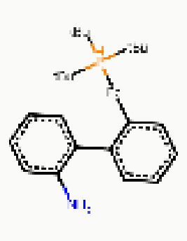 CC(C)(C)[PH]([Pd][c]1ccccc1-c1ccccc1N)(C(C)(C)C)C(C)(C)C